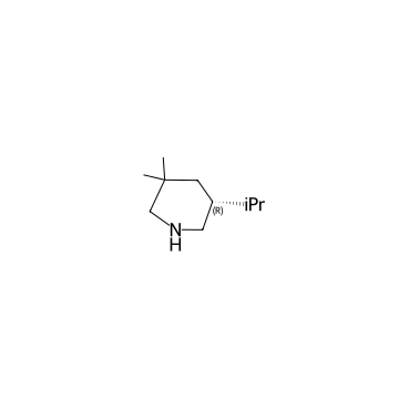 CC(C)[C@@H]1CNCC(C)(C)C1